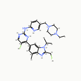 CCN1CCN(Cc2ccc(Nc3ncc(F)c(-c4cc(C)c5nc(CF)n(C(C)C)c5c4)n3)nc2)CC1